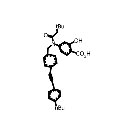 CCCCc1ccc(C#Cc2ccc(CN(C(=O)CC(C)(C)C)c3ccc(C(=O)O)c(O)c3)cc2)cc1